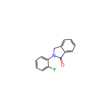 O=C1c2ccccc2CN1c1ccccc1F